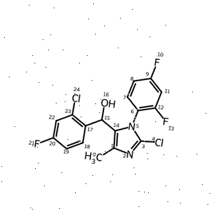 Cc1nc(Cl)n(-c2ccc(F)cc2F)c1C(O)c1ccc(F)cc1Cl